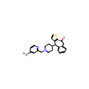 Cc1ccnc(CN2CCC(C3c4ccccc4CC(=O)c4sccc43)CC2)c1